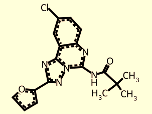 CC(C)(C)C(=O)Nc1nc2ccc(Cl)cc2c2nc(-c3ccco3)nn12